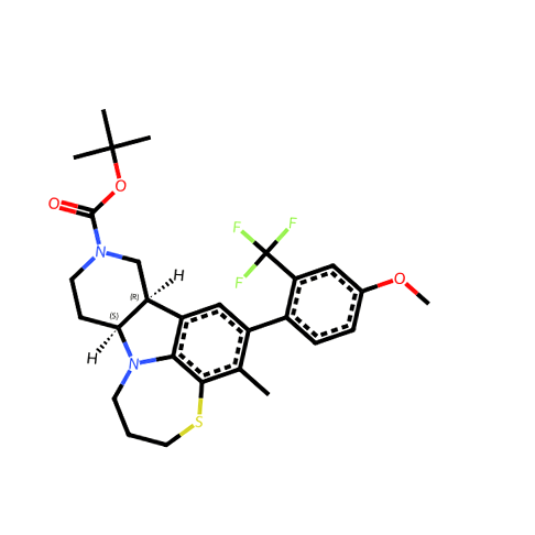 COc1ccc(-c2cc3c4c(c2C)SCCCN4[C@H]2CCN(C(=O)OC(C)(C)C)C[C@@H]32)c(C(F)(F)F)c1